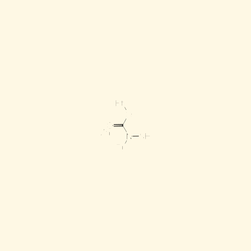 CCOC(=O)N(S)CC.[Zn]